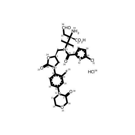 CC(C)(N(C[C@H]1CN(c2ccc(N3CCOCC3=O)cc2F)C(=O)O1)C(=O)c1ccc(Cl)s1)[C@@](N)(CC=O)C(=O)O.Cl